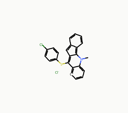 Cn1c2c3ccccc3cc-2c(Sc2ccc(Cl)cc2)c2c1=CC=C[C+]=2.[Cl-]